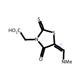 CN/C=C1/SC(=S)N(CC(=O)O)C1=O